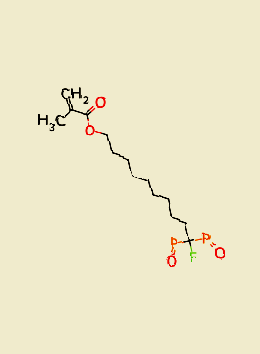 C=C(C)C(=O)OCCCCCCCCCC(F)(P=O)P=O